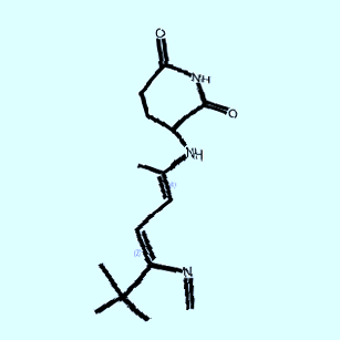 C=N/C(=C\C=C(/C)NC1CCC(=O)NC1=O)C(C)(C)C